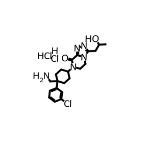 CC(O)Cc1nnc2n1CCN(C1CCC(CN)(c3cccc(Cl)c3)CC1)C2=O.Cl.Cl